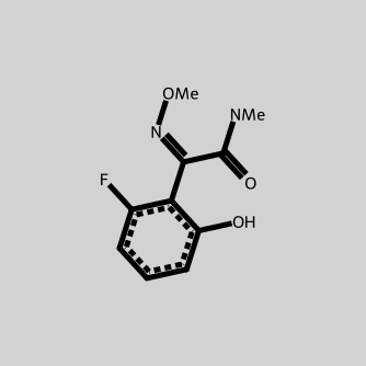 CNC(=O)C(=NOC)c1c(O)cccc1F